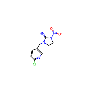 N=C1N(Cc2ccc(Cl)nc2)CCN1[N+](=O)[O-]